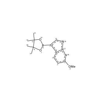 COc1ccc2c(B3OC(C)(C)C(C)(C)O3)cnn2n1